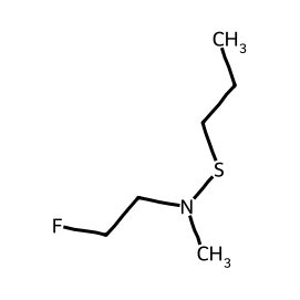 CCCSN(C)CCF